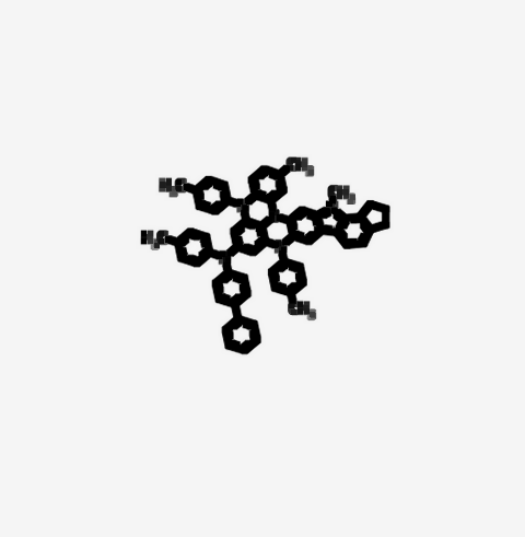 Cc1ccc(N(c2ccc(-c3ccccc3)cc2)c2cc3c4c(c2)N(c2ccc(C)cc2)c2cc5c6ccc7c(c6n(C)c5cc2B4c2cc(C)ccc2N3c2ccc(C)cc2)CCC7)cc1